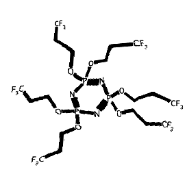 FC(F)(F)CCOP1(OCCC(F)(F)F)=NP(OCCC(F)(F)F)(OCCC(F)(F)F)=NP(OCCC(F)(F)F)(OCCC(F)(F)F)=N1